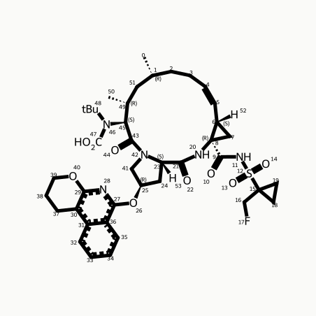 C[C@@H]1CCC=C[C@@H]2C[C@@]2(C(=O)NS(=O)(=O)C2(CF)CC2)NC(=O)[C@@H]2C[C@@H](Oc3nc4c(c5ccccc35)CCCO4)CN2C(=O)[C@@H](N(C(=O)O)C(C)(C)C)[C@H](C)C1